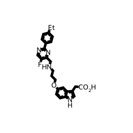 CCc1ccc(-c2ncc(F)c(CNCCCOc3ccc4[nH]cc(CC(=O)O)c4c3)n2)cc1